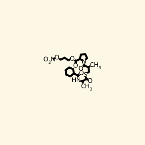 CC(CSC(=O)C(C)NC(=O)C1CCCCC1)C(=O)N1CCCC1C(=O)OCCCO[N+](=O)[O-]